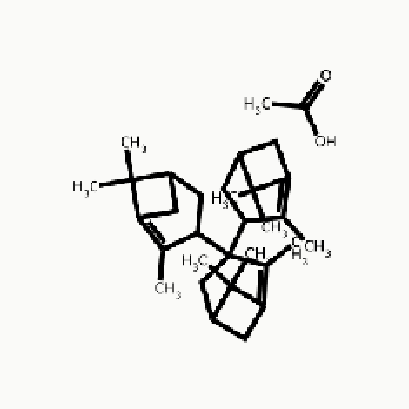 CC(=O)O.CC1=C2CC(CC1C1(C3CC4CC(=C3C)C4(C)C)CC3CC(=C1C)C3(C)C)C2(C)C